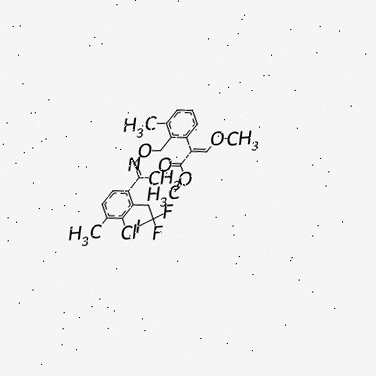 CO/C=C(/C(=O)OC)c1cccc(C)c1CO/N=C(\C)c1ccc(C)c(Cl)c1CC(F)(F)I